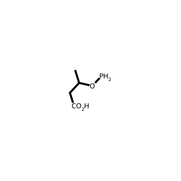 CC(CC(=O)O)OP